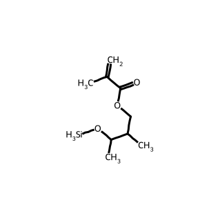 C=C(C)C(=O)OCC(C)C(C)O[SiH3]